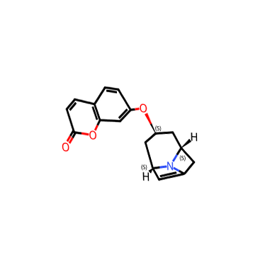 O=c1ccc2ccc(O[C@H]3C[C@@H]4CC5=C[C@H](C3)N54)cc2o1